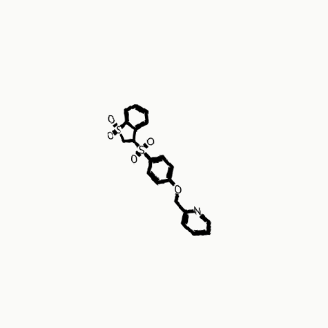 O=S1(=O)CC(S(=O)(=O)c2ccc(OCc3ccccn3)cc2)c2ccccc21